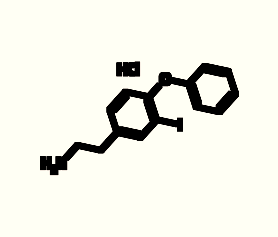 Cl.NCCc1ccc(Oc2ccccc2)c(I)c1